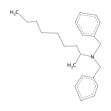 CCCCCCCC(C)N(Cc1ccccc1)Cc1ccccc1